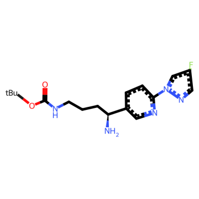 CC(C)(C)OC(=O)NCCC[C@H](N)c1ccc(-n2cc(F)cn2)nc1